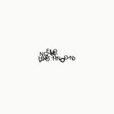 CCn1c(=C=C(C#N)C(=O)NCC2CC2)sc(=C=CNc2cccc(OCCN3CCCC3)c2)c1=O